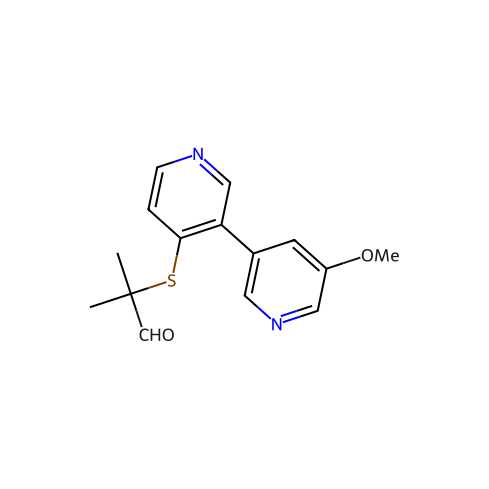 COc1cncc(-c2cnccc2SC(C)(C)C=O)c1